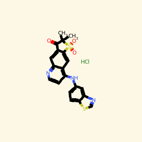 CC1(C)C(=O)c2cc3nccc(Nc4ccc5scnc5c4)c3cc2S1(=O)=O.Cl